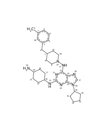 [CH2]c1cccc(CC2CCN(Nc3nc(NC4CCC(N)CC4)nc4c3ncn4C3CCCC3)CC2)c1